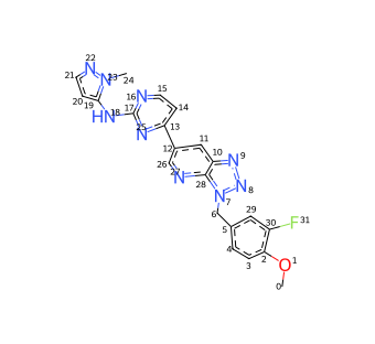 COc1ccc(Cn2nnc3cc(-c4ccnc(Nc5ccnn5C)n4)cnc32)cc1F